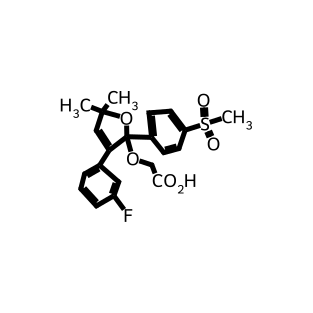 CC1(C)C=C(c2cccc(F)c2)C(OCC(=O)O)(c2ccc(S(C)(=O)=O)cc2)O1